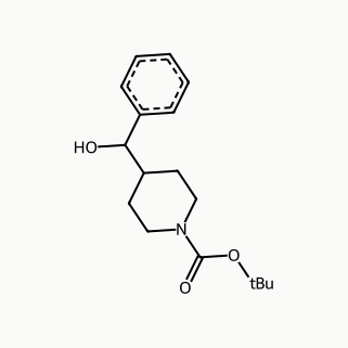 CC(C)(C)OC(=O)N1CCC(C(O)c2ccccc2)CC1